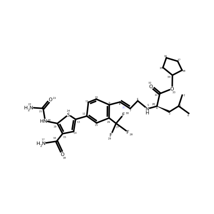 CC(C)C[C@@H](NC/C=C/c1ccc(-c2cc(C(N)=O)c(NC(N)=O)s2)cc1C(F)(F)F)C(=O)OC1CCCC1